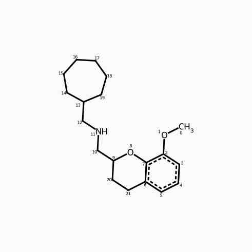 COc1cccc2c1OC(CNCC1CCCCCC1)CC2